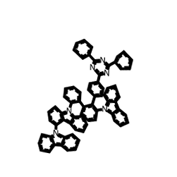 c1ccc(-c2nc(-c3ccccc3)nc(-c3ccc(-c4c(-c5ccccc5-n5c6ccccc6c6c(-n7c8ccccc8c8ccccc87)cccc65)cccc4-n4c5ccccc5c5ccccc54)cc3)n2)cc1